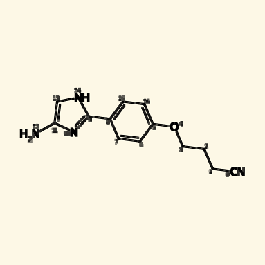 N#CCCCOc1ccc(-c2nc(N)c[nH]2)cc1